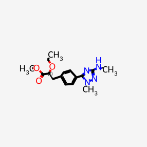 CCO[C@@H](Cc1ccc(-c2nc(NC)nn2C)cc1)C(=O)OC